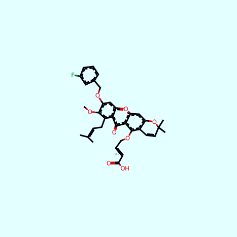 COc1c(OCc2cccc(F)c2)cc2oc3cc4c(c(OC/C=C/C(=O)O)c3c(=O)c2c1CC=C(C)C)C=CC(C)(C)O4